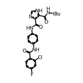 CC(C)(C)NC(=O)c1[nH]cnc1C(=O)Nc1ccc(NC(=O)c2ccc(F)cc2Cl)cc1